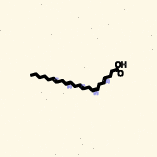 CCCCC/C=C/C/C=C/C/C=C/C/C=C\C/C=C/CCC(=O)O